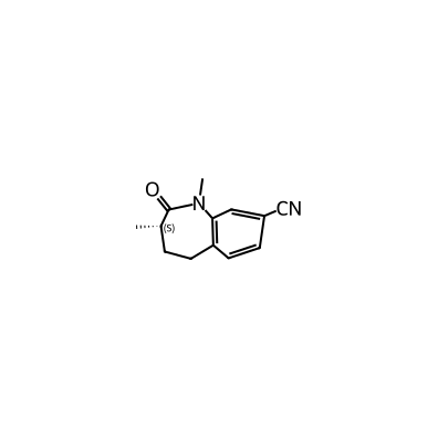 C[C@H]1CCc2ccc(C#N)cc2N(C)C1=O